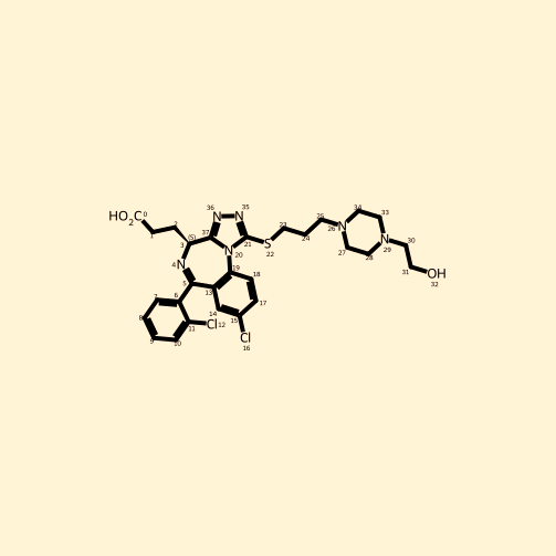 O=C(O)CC[C@@H]1N=C(c2ccccc2Cl)c2cc(Cl)ccc2-n2c(SCCCN3CCN(CCO)CC3)nnc21